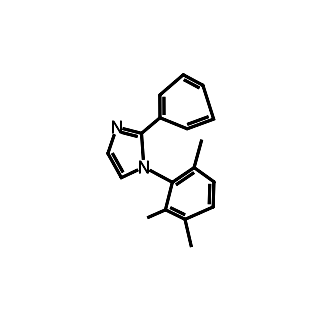 Cc1ccc(C)c(-n2ccnc2-c2ccccc2)c1C